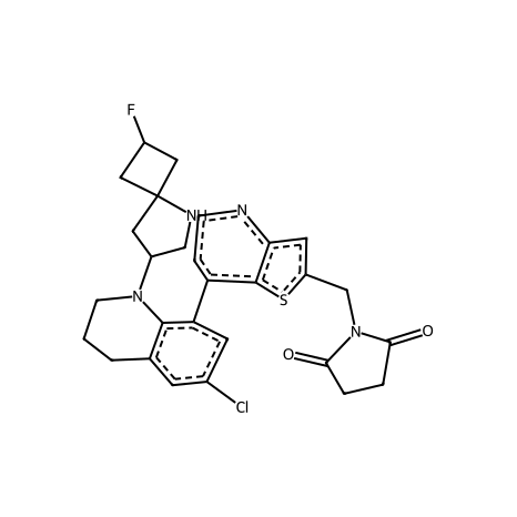 O=C1CCC(=O)N1Cc1cc2nccc(-c3cc(Cl)cc4c3N(C3CNC5(CC(F)C5)C3)CCC4)c2s1